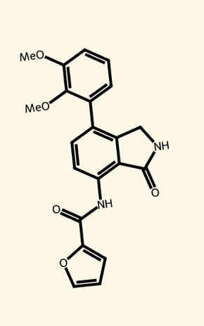 COc1cccc(-c2ccc(NC(=O)c3ccco3)c3c2CNC3=O)c1OC